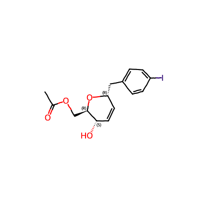 CC(=O)OC[C@H]1O[C@H](Cc2ccc(I)cc2)C=C[C@@H]1O